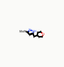 CNc1cc(CC2CCOCC2)[nH]n1